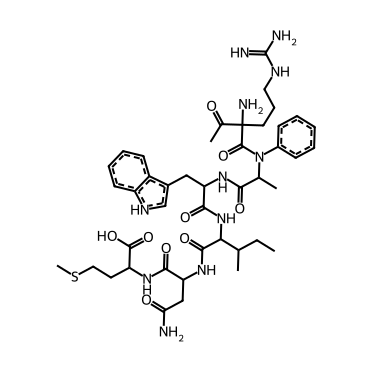 CCC(C)C(NC(=O)C(Cc1c[nH]c2ccccc12)NC(=O)C(C)N(C(=O)C(N)(CCCNC(=N)N)C(C)=O)c1ccccc1)C(=O)NC(CC(N)=O)C(=O)NC(CCSC)C(=O)O